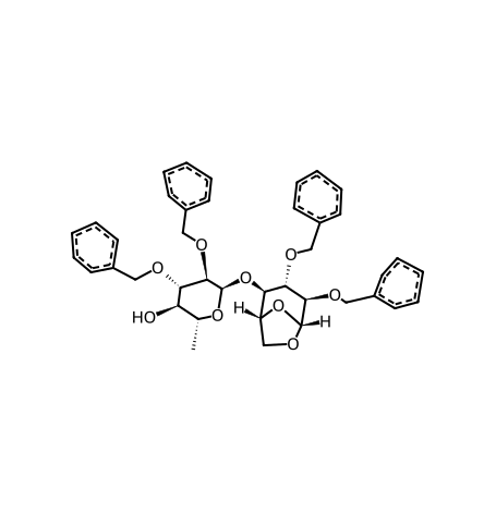 C[C@H]1O[C@H](O[C@H]2[C@H](OCc3ccccc3)[C@@H](OCc3ccccc3)[C@@H]3OC[C@H]2O3)[C@H](OCc2ccccc2)[C@@H](OCc2ccccc2)[C@@H]1O